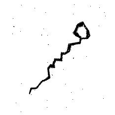 [CH2]CCCCCCCCCCC=Cc1ccccc1